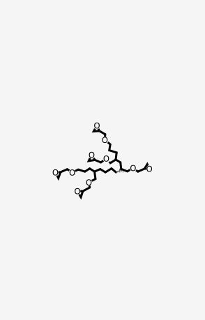 C(CC[C@@H](COCC1CO1)CC(CCCOCC1CO1)COCC1CO1)CC(CCCOCC1CO1)COCC1CO1